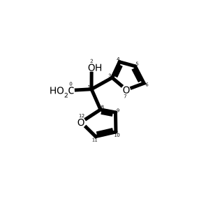 O=C(O)C(O)(c1ccco1)c1ccco1